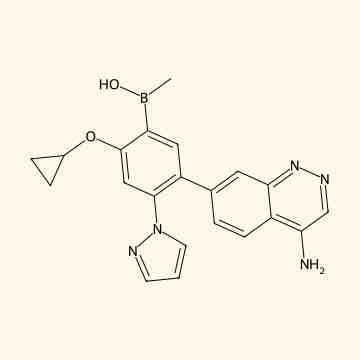 CB(O)c1cc(-c2ccc3c(N)cnnc3c2)c(-n2cccn2)cc1OC1CC1